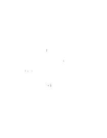 O=[S](=O)(O)[Co]([S](=O)(=O)O)([S](=O)(=O)O)[S](=O)(=O)O